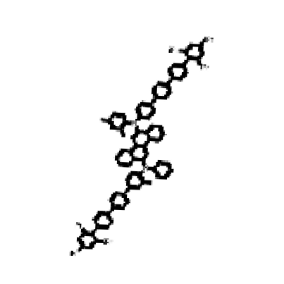 Cc1ccc(N(c2ccc(-c3ccc(-c4ccc(-c5c(C(C)C)cc(C(C)C)cc5C(C)C)cc4)cc3)cc2)c2cc3c4ccccc4c(N(c4ccccc4)c4ccc(-c5ccc(-c6ccc(-c7c(C(C)C)cc(C(C)C)cc7C(C)C)cc6)cc5)cc4C)cc3c3ccccc23)c(C)c1